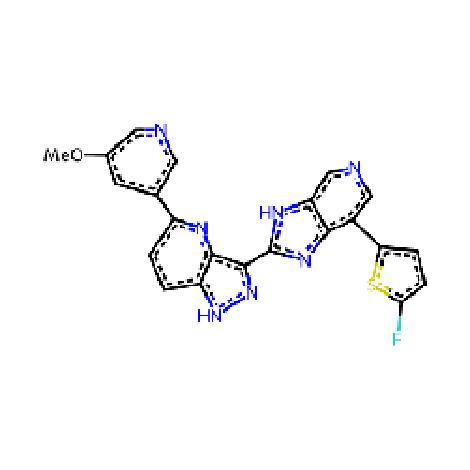 COc1cncc(-c2ccc3[nH]nc(-c4nc5c(-c6ccc(F)s6)cncc5[nH]4)c3n2)c1